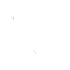 Cc1cnc(Cl)c(C#N)c1